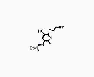 CCN(C)/C=N/c1cc(C#N)c(OCCC(C)C)nc1C